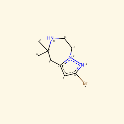 CC1(C)Cc2cc(Br)nn2CCN1